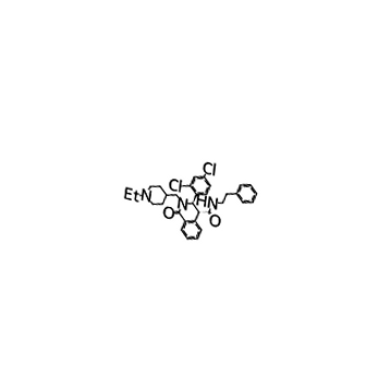 CCN1CCC(CN2C(=O)c3ccccc3[C@@H](C(=O)NCCc3ccccc3)[C@@H]2c2ccc(Cl)cc2Cl)CC1